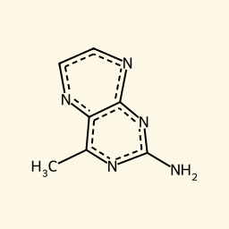 Cc1nc(N)nc2nccnc12